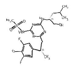 CC(C)C[C@H](CO)Nc1nc(C[C@H](C)c2cc(F)c(Cl)c(F)c2)nc(NS(C)(=O)=O)n1